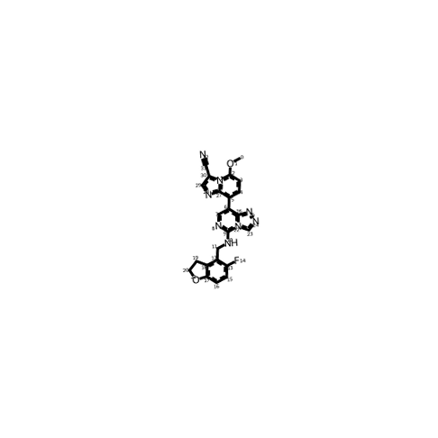 COc1ccc(-c2cnc(NCc3c(F)ccc4c3CCO4)n3cnnc23)c2ncc(C#N)n12